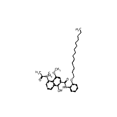 CCCCCCCCCCCCCCOc1ccccc1NC(=O)c1cc(OC)c2c(N(C)C(C)=O)cccc2c1O